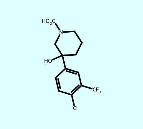 O=C(O)N1CCCC(O)(c2ccc(Cl)c(C(F)(F)F)c2)C1